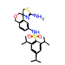 CC(C)c1cc(C(C)C)c(S(=O)(=O)Nc2ccc3c(c2)C2(COC3)CSC(N)=N2)c(C(C)C)c1